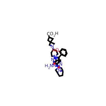 Nc1nnc(-c2ccccc2O)cc1N1CC2CCC(C1)N2c1ncc(N2CCC(N3CC4(CC(C(=O)O)C4)C3)CC2)cn1